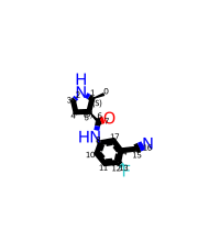 C[C@@H]1NCC[C@@H]1C(=O)Nc1ccc(F)c(C#N)c1